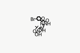 CC(C)(C)[C@]12C[C@@H](CN1C(=O)O)N(Cc1nc3c(oc4ccc(Br)cc43)c(=O)[nH]1)C2